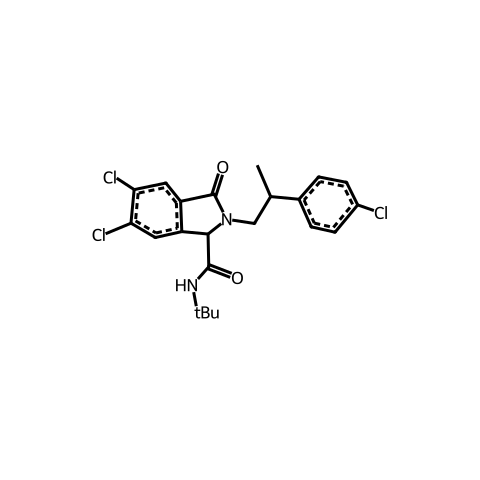 CC(CN1C(=O)c2cc(Cl)c(Cl)cc2C1C(=O)NC(C)(C)C)c1ccc(Cl)cc1